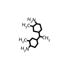 CC1CC(C(C)C2CCC(N)C(C)C2)CCC1N